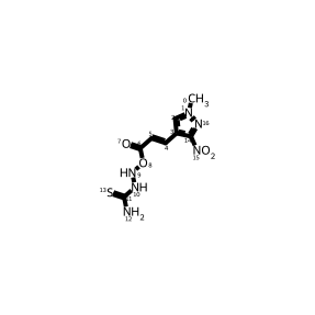 Cn1cc(C=CC(=O)ONNC(N)=S)c([N+](=O)[O-])n1